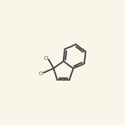 ClC1(Cl)C=Cc2ccccc21